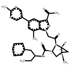 CCC(Cc1ccccc1)NC(=O)[C@@H]1C[C@@]2(C)C[C@H]2N1C(=O)Cn1nc(C(C)=O)c2cc(-c3cnc(C)nc3)cc(C)c21